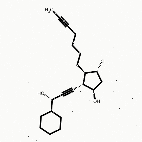 CC#CCCCC[C@@H]1[C@@H](C#C[C@@H](O)C2CCCCC2)[C@H](O)C[C@H]1Cl